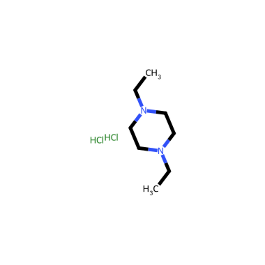 CCN1CCN(CC)CC1.Cl.Cl